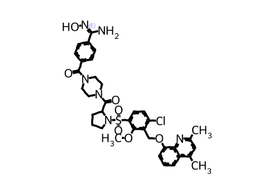 COc1c(S(=O)(=O)N2CCCC2C(=O)N2CCN(C(=O)c3ccc(/C(N)=N\O)cc3)CC2)ccc(Cl)c1COc1cccc2c(C)cc(C)nc12